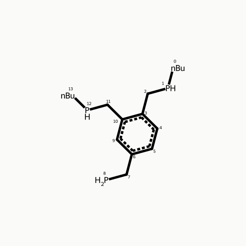 CCCCPCc1ccc(CP)cc1CPCCCC